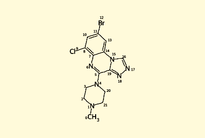 CN1CCN(c2nc3c(Cl)cc(Br)cc3n3cnnc23)CC1